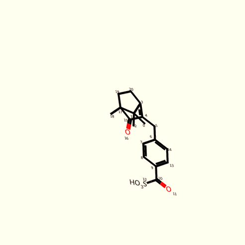 CC1(C)C2=C(Cc3ccc(C(=O)S(=O)(=O)O)cc3)C(=O)C1(C)CC2